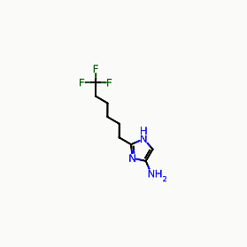 Nc1c[nH]c(CCCCCC(F)(F)F)n1